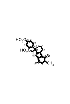 Cc1cc(F)c2[nH]c3c(c2c1Br)CCOC3(CC(=O)O)c1ccc(C(=O)O)cc1